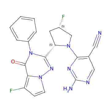 N#Cc1cnc(N)nc1N1C[C@@H](F)C[C@H]1c1nn2ccc(F)c2c(=O)n1-c1ccccc1